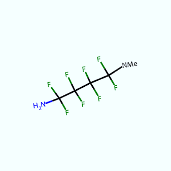 CNC(F)(F)C(F)(F)C(F)(F)C(N)(F)F